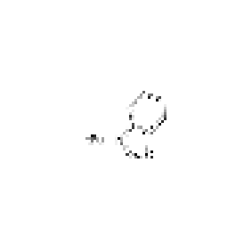 CC(C)(C)[n+]1coc2ccccc21